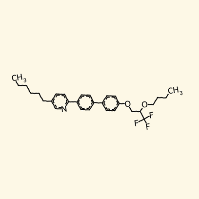 CCCCCCc1ccc(-c2ccc(-c3ccc(OCC(OCCCC)C(F)(F)F)cc3)cc2)nc1